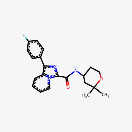 CC1(C)CC(NC(=O)c2nc(-c3ccc(F)cc3)c3ccccn23)CCO1